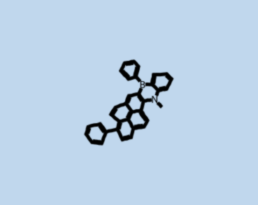 CN1c2ccccc2B(c2ccccc2)c2cc3ccc4c(-c5ccccc5)ccc5ccc(c21)c3c54